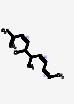 C=C(/C=C\C(Cl)C(C)/C=C\C=N/C)[N+](=O)[O-]